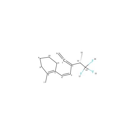 C=C=C(/C=C\C1=C(C)CCCC1)[C@H](C)C(F)(F)F